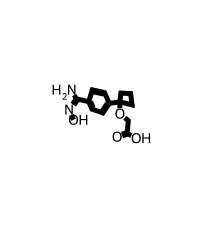 N/C(=N/O)c1ccc(C2(OCC(=O)O)CCC2)cc1